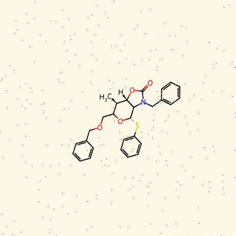 C[C@@H]1C(COCc2ccccc2)O[C@@H](Sc2ccccc2)C2[C@H]1OC(=O)N2Cc1ccccc1